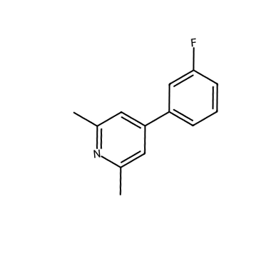 Cc1cc(-c2cccc(F)c2)cc(C)n1